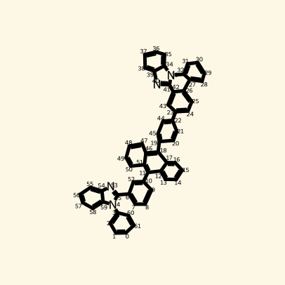 c1ccc(-n2c(-c3cccc(-c4c5ccccc5c(-c5ccc(-c6ccc7c8ccccc8n8c9ccccc9nc8c7c6)cc5)c5ccccc45)c3)nc3ccccc32)cc1